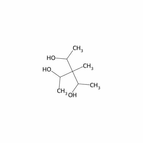 CC(O)C(C)(C(C)O)C(C)O